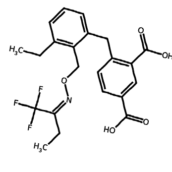 CCC(=NOCc1c(CC)cccc1Cc1ccc(C(=O)O)cc1C(=O)O)C(F)(F)F